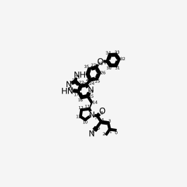 CC(C)C=C(C#N)C(=O)N1CCC[C@H]1Cc1cc2[nH]nc(N)c2c(-c2ccc(Oc3ccccc3)cc2)n1